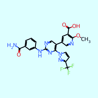 COc1ncc(-c2cnc(Nc3cccc(C(N)=O)c3)nc2-n2ccc(C(F)(F)F)n2)cc1C(=O)O